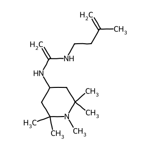 C=C(C)CCNC(=C)NC1CC(C)(C)N(C)C(C)(C)C1